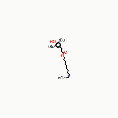 CCCCCCCC/C=C\CCCCCCCCOC(=O)CCc1cc(C(C)(C)C)c(O)c(C(C)(C)C)c1